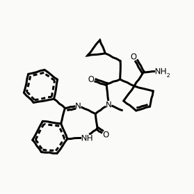 CN(C(=O)C(CC1CC1)C1(C(N)=O)CC=CC1)C1N=C(c2ccccc2)c2ccccc2NC1=O